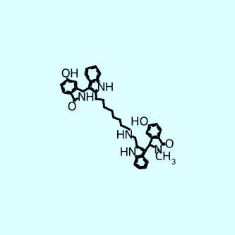 CN1C(=O)c2ccc(O)cc2C1c1c(CNCCCCCCCCc2[nH]c3ccccc3c2C2NC(=O)c3ccc(O)cc32)[nH]c2ccccc12